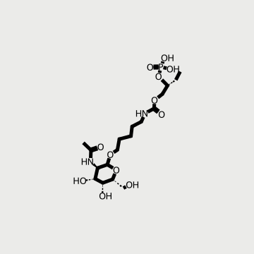 CC[C@H](COC(=O)NCCCCCOC1O[C@H](CO)[C@H](O)[C@H](O)[C@H]1NC(C)=O)OP(=O)(O)O